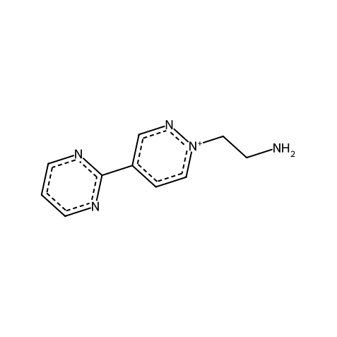 NCC[n+]1ccc(-c2ncccn2)cn1